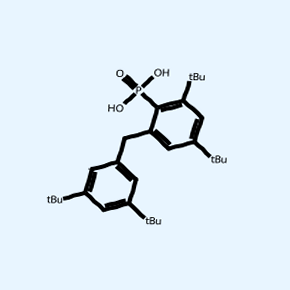 CC(C)(C)c1[c]c(Cc2cc(C(C)(C)C)cc(C(C)(C)C)c2P(=O)(O)O)cc(C(C)(C)C)c1